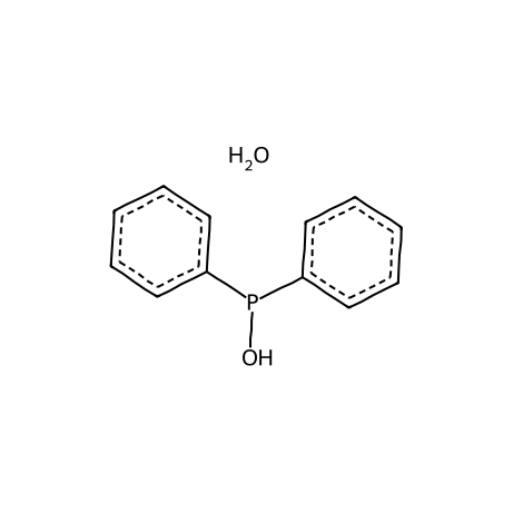 O.OP(c1ccccc1)c1ccccc1